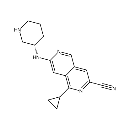 N#Cc1cc2cnc(N[C@H]3CCCNC3)cc2c(C2CC2)n1